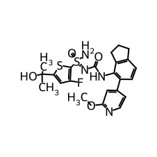 COc1cc(-c2ccc3c(c2NC(=O)N=S(N)(=O)c2sc(C(C)(C)O)cc2F)CCC3)ccn1